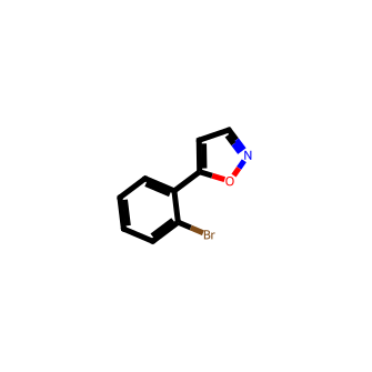 Brc1ccccc1-c1ccno1